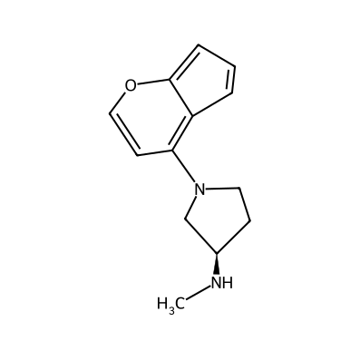 CN[C@@H]1CCN(c2ccoc3cccc2-3)C1